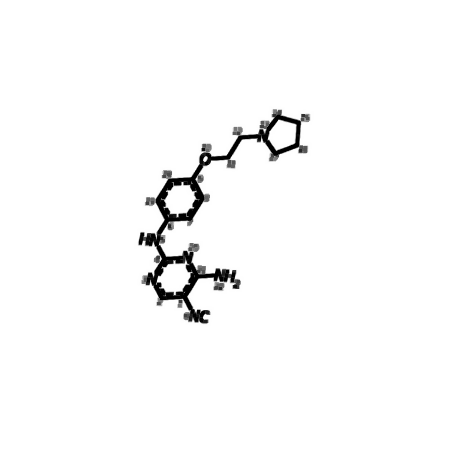 [C-]#[N+]c1cnc(Nc2ccc(OCCN3CCCC3)cc2)nc1N